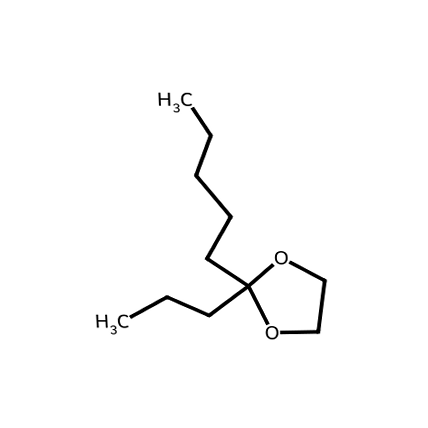 CCCCCC1(CCC)OCCO1